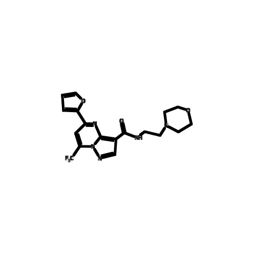 O=C(NCCN1CCOCC1)c1cnn2c(C(F)(F)F)cc(-c3ccco3)nc12